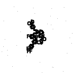 CCOC(=O)c1ccc2c(n1)CCCC2N(CCc1ccc(C(=O)OC)cc1)CCc1cc(F)ccc1OCc1ccc(-c2ccc(C(F)(F)F)cc2)cc1Cl